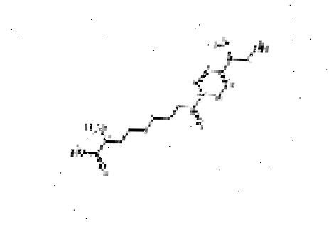 NC(CCCCCCC(=O)c1ccc(C(O)CO)cc1)C(=O)O